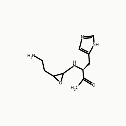 CC(=O)[C@H](Cc1cnc[nH]1)NC1OC1CCN